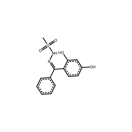 CS(=O)(=O)NN=C(c1ccccc1)c1ccc(O)cc1O